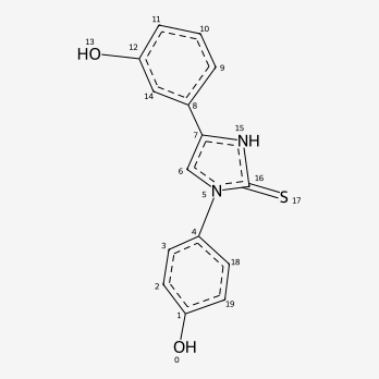 Oc1ccc(-n2cc(-c3cccc(O)c3)[nH]c2=S)cc1